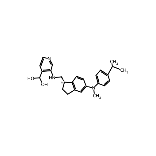 CC(C)c1ccc(N(C)c2ccc3c(c2)CC[C@H]3CNc2cnccc2C(O)O)cc1